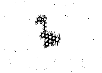 CN1CCCc2cc3c(cc21)C(C)(C)c1cc2c(cc1=C3c1ccccc1C(=O)O)CCC[N+]=2CCCCCC(=O)ON1C(=O)CCC1=O